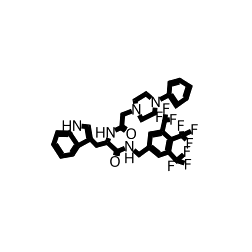 O=C(CN1CCN(c2ccccc2)CC1)NC(Cc1c[nH]c2ccccc12)C(=O)NCc1cc(C(F)(F)F)c(C(F)(F)F)c(C(F)(F)F)c1